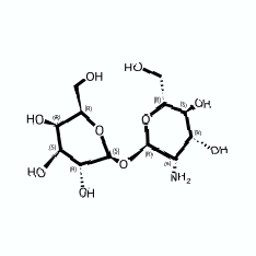 N[C@@H]1[C@@H](O[C@@H]2O[C@H](CO)[C@H](O)[C@H](O)[C@H]2O)O[C@H](CO)[C@@H](O)[C@@H]1O